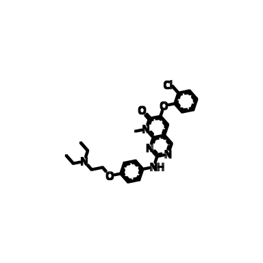 CCN(CC)CCOc1ccc(Nc2ncc3cc(Oc4ccccc4Cl)c(=O)n(C)c3n2)cc1